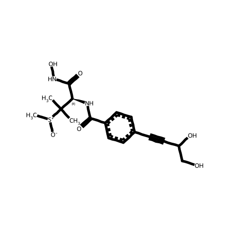 C[S+]([O-])C(C)(C)[C@H](NC(=O)c1ccc(C#CC(O)CO)cc1)C(=O)NO